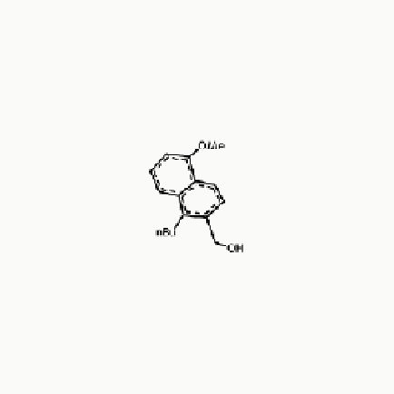 CCCCc1c(CO)ccc2c(OC)cccc12